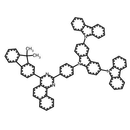 CC1(C)c2ccccc2-c2ccc(-c3nc(-c4ccc(-n5c6ccc(-n7c8ccccc8c8ccccc87)cc6c6cc(-n7c8ccccc8c8ccccc87)ccc65)cc4)nc4c3ccc3ccccc34)cc21